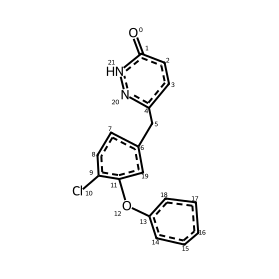 O=c1ccc(Cc2ccc(Cl)c(Oc3ccccc3)c2)n[nH]1